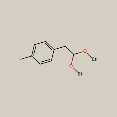 CCOC(Cc1c[c]c(C)cc1)OCC